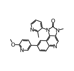 COc1ccc(-c2ccc3ncc4c(c3c2)n(-c2cccnc2C)c(=O)n4C)cn1